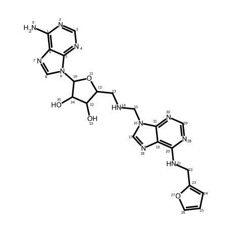 Nc1ncnc2c1ncn2C1OC(CNCn2cnc3c(NCc4ccco4)ncnc32)C(O)C1O